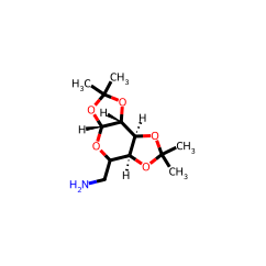 CC1(C)O[C@H]2OC(CN)[C@@H]3OC(C)(C)O[C@@H]3[C@H]2O1